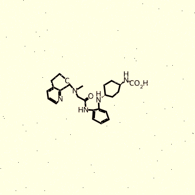 CN(CC(=O)Nc1ccccc1N[C@H]1CC[C@H](NC(=O)O)CC1)C1CCCc2cccnc21